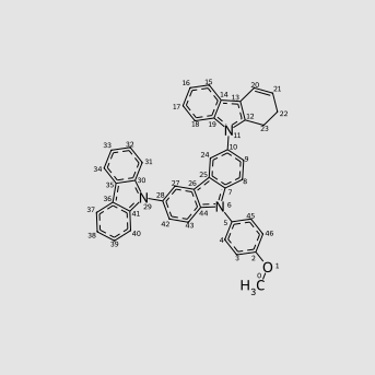 COc1ccc(-n2c3ccc(-n4c5c(c6ccccc64)C=CCC5)cc3c3cc(-n4c5ccccc5c5ccccc54)ccc32)cc1